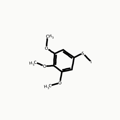 COc1cc(SI)cc(OC)c1OC